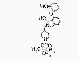 CC(C)(C)OC(=O)N1CCC(CN2Cc3cccc(O[C@H]4CCCC[C@@H]4O)c3C2O)CC1